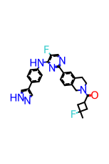 CC1(F)CC(C(=O)N2CCc3cc(-c4ncc(F)c(Nc5ccc(-c6cn[nH]c6)cc5)n4)ccc3C2)C1